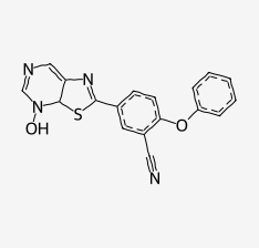 N#Cc1cc(C2=NC3=CN=CN(O)C3S2)ccc1Oc1ccccc1